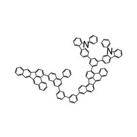 c1ccc(-c2cc(-c3cccc(-c4cccc(-c5ccc6c7c(ccc6c5)-c5cc6ccccc6c6c(-c8cc(-c9ccc%10c%11ccccc%11n(-c%11ccccc%11)c%10c9)cc(-c9ccc%10c%11ccccc%11n(-c%11ccccc%11)c%10c9)c8)ccc-7c56)c4)c3)cc3cc(-c4ccc5c6c(cc7ccccc7c46)-c4cc6ccccc6cc4-5)ccc23)cc1